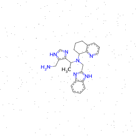 CC(c1nc[nH]c1CN)N(Cc1nc2ccccc2[nH]1)C1CCCc2cccnc21